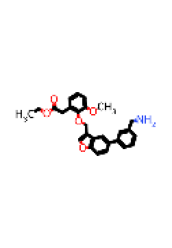 CCOC(=O)Cc1cccc(OC)c1OCc1coc2ccc(-c3cccc(CN)c3)cc12